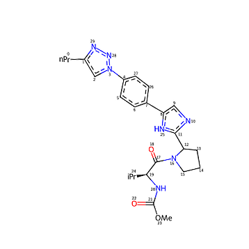 CCCc1cn(-c2ccc(-c3cnc(C4CCCN4C(=O)[C@@H](NC(=O)OC)C(C)C)[nH]3)cc2)nn1